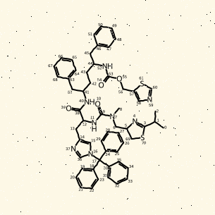 CC(C)C1=NC(CN(C)C(=O)NC(Cc2cn(C(c3ccccc3)(c3ccccc3)c3ccccc3)cn2)C(=O)NC(CCC(Cc2ccccc2)NC(=O)OCc2cncs2)Cc2ccccc2)CS1